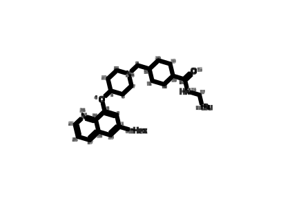 CCCCCCc1cc(OC2CCN(CC3CCC(C(=O)NCC(C)(C)C)CC3)CC2)c2ncccc2c1